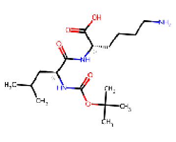 CC(C)C[C@H](NC(=O)OC(C)(C)C)C(=O)N[C@@H](CCCCN)C(=O)O